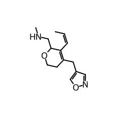 C/C=C\C1=C(Cc2cnoc2)CCOC1CNC